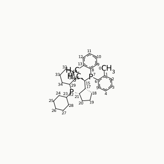 Cc1ccccc1P(c1ccccc1C)[C@H](C)[C@@H]1CCC[C@@H]1P(C1CCCCC1)C1CCCCC1